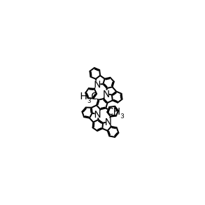 Cc1c2c3cccc4c5ccc6c7ccccc7n(-c7ccccc7)c6c5n(c2c(C)c2c5cccc6c7ccc8c(c7n(c12)c65)N(c1ccccc1)C1C=CC=CC81)c43